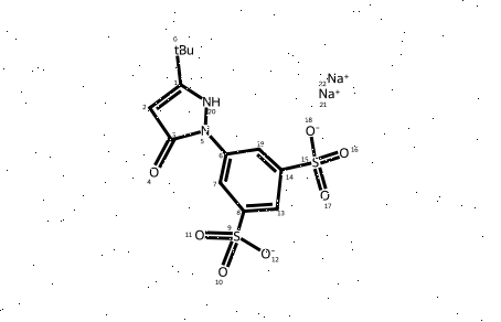 CC(C)(C)c1cc(=O)n(-c2cc(S(=O)(=O)[O-])cc(S(=O)(=O)[O-])c2)[nH]1.[Na+].[Na+]